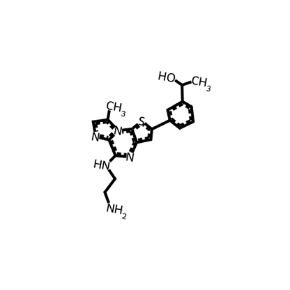 Cc1cnc2c(NCCN)nc3cc(-c4cccc(C(C)O)c4)sc3n12